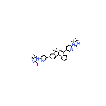 CC1=NC(C)(C)C(C)(C)N1c1ccc(-c2cc3c(c4ccccc24)-c2ccc(-c4ccc(N5C(I)=NC(C)(C)C5(C)C)nc4)cc2C3(C)C)cn1